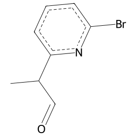 CC(C=O)c1cccc(Br)n1